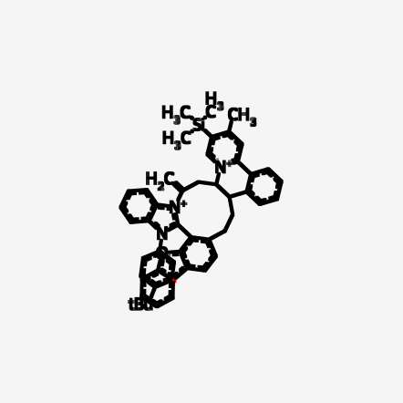 C=C1CC2C(CCc3ccc4c(oc5ccccc54)c3-c3n(-c4ccc(C(C)(C)C)cc4)c4ccccc4[n+]31)c1ccccc1-c1cc(C)c([Si](C)(C)C)c[n+]12